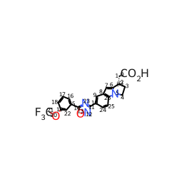 O=C(O)C[C@@H]1CCn2c1cc1cc(-c3noc(-c4cccc(OC(F)(F)F)c4)n3)ccc12